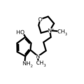 CN(CCC[N+]1(C)CCOCC1)c1cc(O)ccc1N